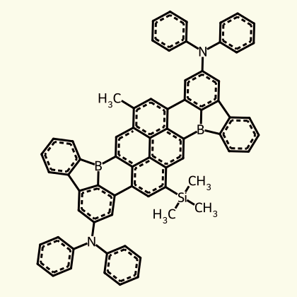 Cc1cc2c3c(cc4c([Si](C)(C)C)cc5c6c(cc1c3c46)B1c3ccccc3-c3cc(N(c4ccccc4)c4ccccc4)cc-5c31)B1c3ccccc3-c3cc(N(c4ccccc4)c4ccccc4)cc-2c31